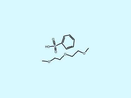 COCCOCCOC.O=S(=O)(O)c1ccccc1